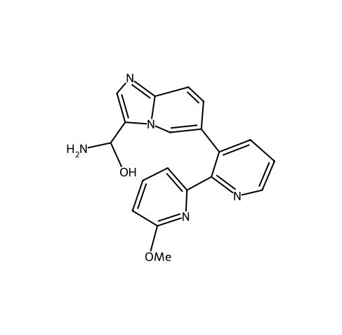 COc1cccc(-c2ncccc2-c2ccc3ncc(C(N)O)n3c2)n1